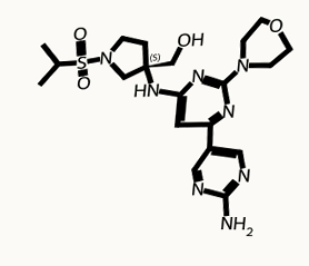 CC(C)S(=O)(=O)N1CC[C@](CO)(Nc2cc(-c3cnc(N)nc3)nc(N3CCOCC3)n2)C1